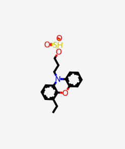 CCc1cccc2c1Oc1ccccc1N2CCCO[SH](=O)=O